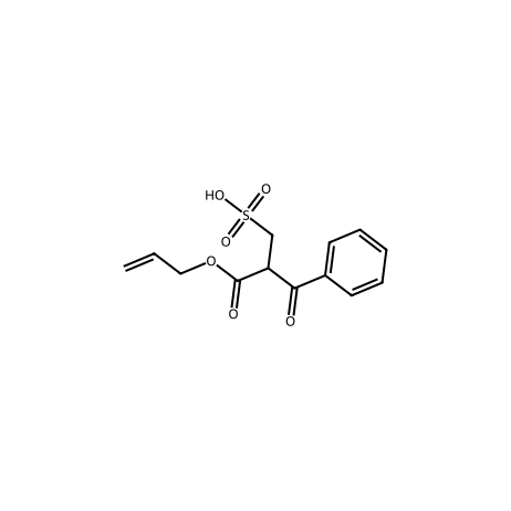 C=CCOC(=O)C(CS(=O)(=O)O)C(=O)c1ccccc1